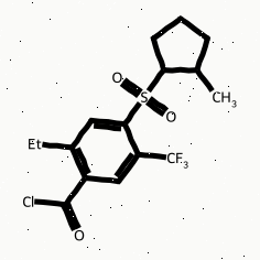 CCc1cc(S(=O)(=O)C2CCCC2C)c(C(F)(F)F)cc1C(=O)Cl